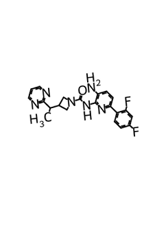 CC(c1ncccn1)C1CN(C(=O)Nc2nc(-c3ccc(F)cc3F)ccc2N)C1